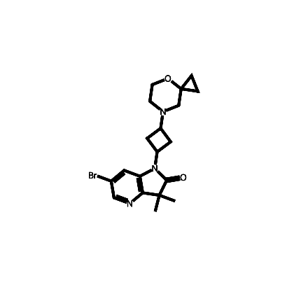 CC1(C)C(=O)N(C2CC(N3CCOC4(CC4)C3)C2)c2cc(Br)cnc21